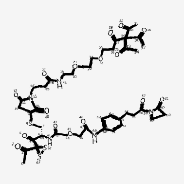 CC(=O)C1(C(=O)[C@H](CSC2CC(=O)N(CCC(=O)NCCOCCOCCC(=O)C(C(C)=O)(C(C)=O)C(C)=O)C2=O)NC(=O)COCC(=O)Nc2ccc(CCC(=O)N3CCC3=O)cc2)SS1